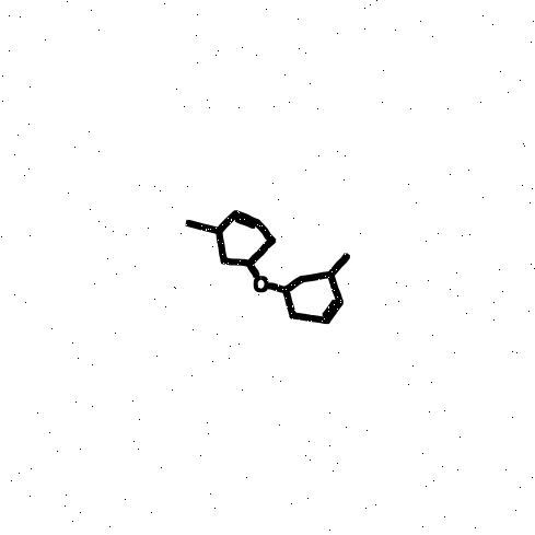 CC1C=CCC(OC2CC=CC(C)C2)C1